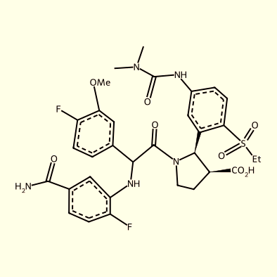 CCS(=O)(=O)c1ccc(NC(=O)N(C)C)cc1[C@H]1[C@@H](C(=O)O)CCN1C(=O)C(Nc1cc(C(N)=O)ccc1F)c1ccc(F)c(OC)c1